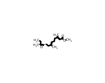 CC[C@@]1(C)O[C@H]1CCC(C)=CCCC(C)=CC(=O)OC